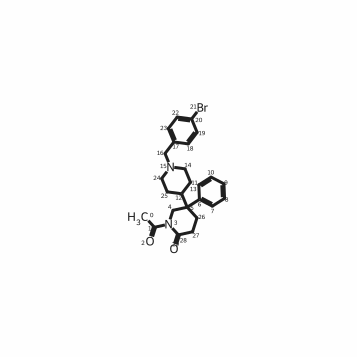 CC(=O)N1CC(c2ccccc2)(C2CCN(Cc3ccc(Br)cc3)CC2)CCC1=O